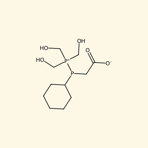 O=C([O-])CP(C1CCCCC1)[P+](CO)(CO)CO